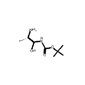 C[C@H](N)C(O)NC(=O)OC(C)(C)C